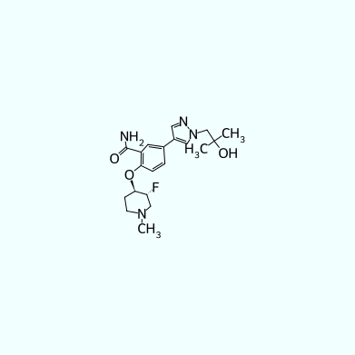 CN1CC[C@@H](Oc2ccc(-c3cnn(CC(C)(C)O)c3)cc2C(N)=O)[C@H](F)C1